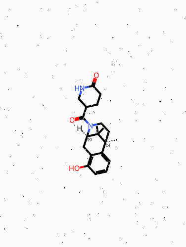 CC1(C)[C@H]2Cc3c(O)cccc3[C@]1(C)CCN2C(=O)C1CCC(=O)NC1